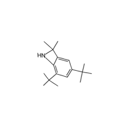 CC(C)(C)c1cc(C(C)(C)C)c2c(c1)C(C)(C)N2